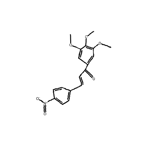 COc1cc(C(=O)/C=C/c2ccc([N+](=O)[O-])cc2)cc(OC)c1OC